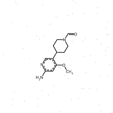 COc1cc(N)ncc1C1CCN(C=O)CC1